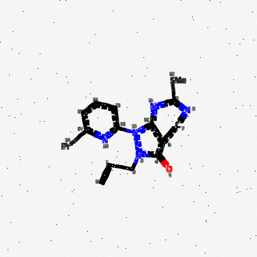 C=CCn1c(=O)c2cnc(SC)nc2n1-c1cccc(C(C)C)n1